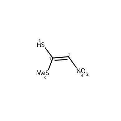 CS/C(S)=C\[N+](=O)[O-]